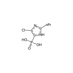 CCCc1nc(Cl)c(P(=O)(O)O)[nH]1